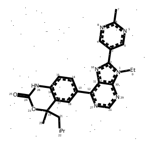 CCn1c(-c2cnc(C)nc2)nc2c(-c3ccc4c(c3)C(C)(CC(C)C)OC(=O)N4)ncnc21